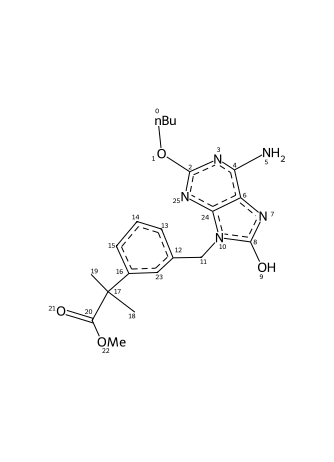 CCCCOc1nc(N)c2nc(O)n(Cc3cccc(C(C)(C)C(=O)OC)c3)c2n1